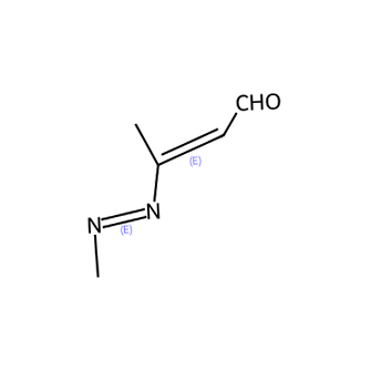 C/N=N/C(C)=C/C=O